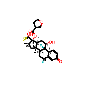 C[C@@H]1C[C@H]2[C@@H]3C[C@H](F)C4=CC(=O)C=C[C@]4(C)C3(F)[C@@H](O)C[C@]2(C)[C@@]1(OC(=O)C1CCOC1)C(O)=S